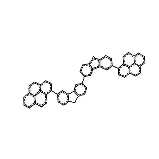 c1cc2ccc3ccc(-c4ccc5c(c4)-c4cc(-c6ccc7oc8ccc(-c9ccc%10ccc%11cccc%12ccc9c%10c%11%12)cc8c7c6)ccc4C5)c4ccc(c1)c2c34